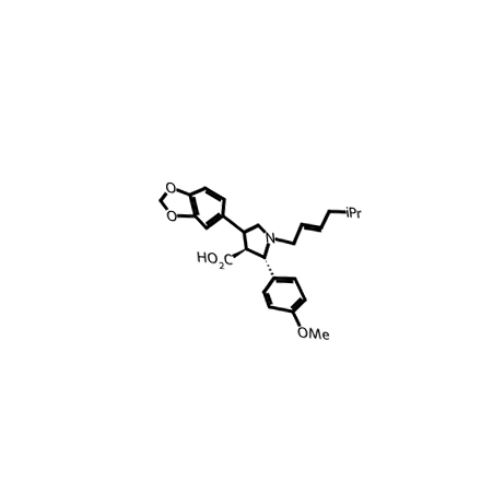 COc1ccc([C@@H]2[C@@H](C(=O)O)C(c3ccc4c(c3)OCO4)CN2C/C=C/CC(C)C)cc1